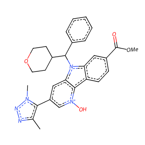 COC(=O)c1ccc2c(c1)n(C(c1ccccc1)C1CCOCC1)c1cc(-c3c(C)nnn3C)c[n+](O)c21